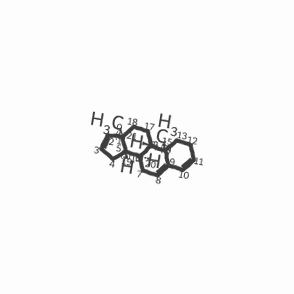 C[C@@]12C=CC[C@H]1[C@@H]1CC=C3C=CCC[C@]3(C)[C@H]1CC2